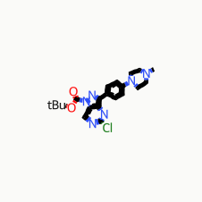 CN1CCN(c2ccc(-c3nn(C(=O)OC(C)(C)C)c4cnc(Cl)nc34)cc2)CC1